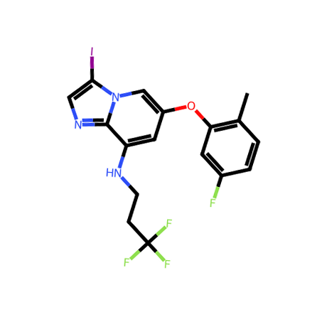 Cc1ccc(F)cc1Oc1cc(NCCC(F)(F)F)c2ncc(I)n2c1